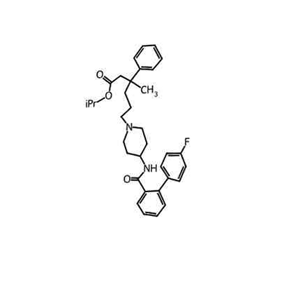 CC(C)OC(=O)CC(C)(CCCN1CCC(NC(=O)c2ccccc2-c2ccc(F)cc2)CC1)c1ccccc1